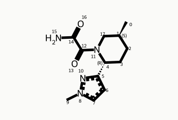 C[C@H]1CC[C@H](c2ccn(C)n2)N(C(=O)C(N)=O)C1